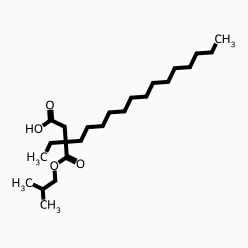 CCCCCCCCCCCCCCC(CC)(CC(=O)O)C(=O)OCC(C)C